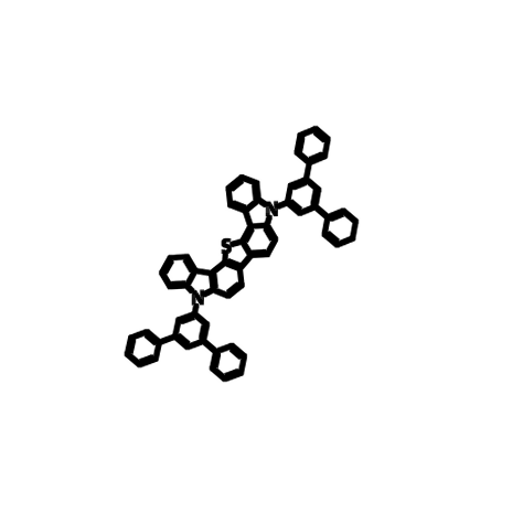 C1=CC(c2cc(-c3ccccc3)cc(-n3c4ccccc4c4c5sc6c(ccc7c6c6ccccc6n7-c6cc(-c7ccccc7)cc(-c7ccccc7)c6)c5ccc43)c2)=CCC1